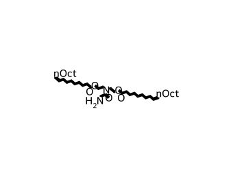 CCCCCCCC/C=C\CCCCCCCC(=O)OCCN(CCOC(=O)CCCCCCC/C=C\CCCCCCCC)C(=O)CN